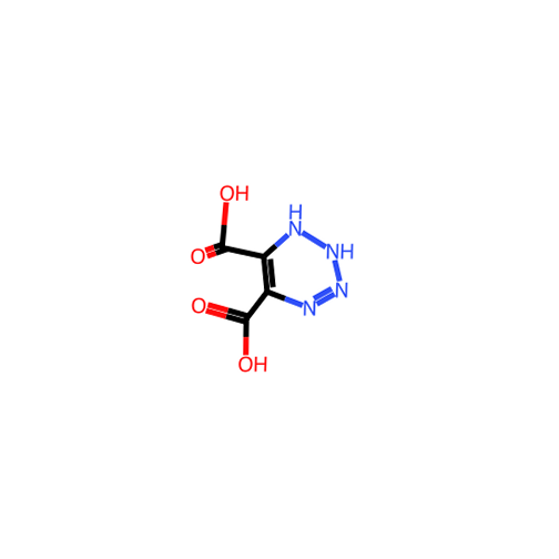 O=C(O)C1=C(C(=O)O)NNN=N1